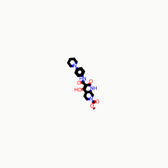 COC(=O)N1CCC2C(O)=C(C(=O)Nc3ccc(N4CCCCC4)cc3)C(=O)NC2C1